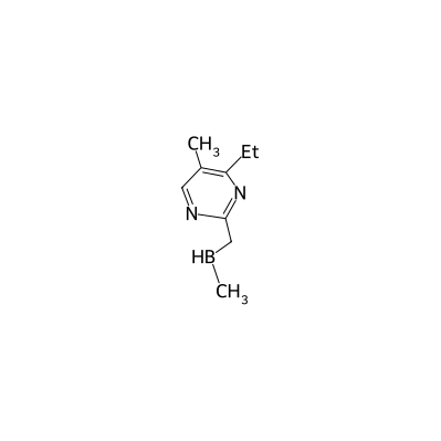 CBCc1ncc(C)c(CC)n1